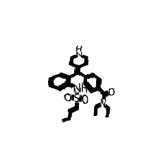 CCCCS(=O)(=O)Nc1ccccc1C(=C1CCNCC1)c1ccc(C(=O)N(CC)CC)cc1